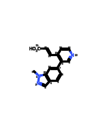 Cn1ncc2ccc(-c3cnccc3/C=C/C(=O)O)cc21